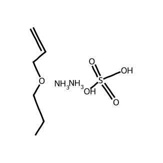 C=CCOCCC.N.N.O=S(=O)(O)O